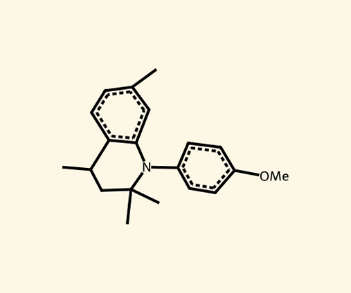 COc1ccc(N2c3cc(C)ccc3C(C)CC2(C)C)cc1